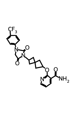 NC(=O)c1cccnc1OC1CC2(C1)CC(N1C(=O)CN(c3ccc(C(F)(F)F)cc3)C1=O)C2